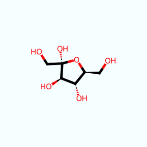 OC[C@@H]1O[C@](O)(CO)[C@H](O)[C@H]1O